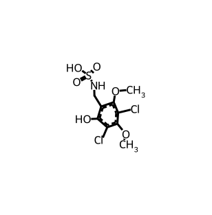 COc1c(Cl)c(O)c(CNS(=O)(=O)O)c(OC)c1Cl